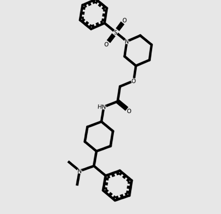 CN(C)C(c1ccccc1)C1CCC(NC(=O)COC2CCCN(S(=O)(=O)c3ccccc3)C2)CC1